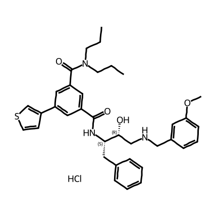 CCCN(CCC)C(=O)c1cc(C(=O)N[C@@H](Cc2ccccc2)[C@H](O)CNCc2cccc(OC)c2)cc(-c2ccsc2)c1.Cl